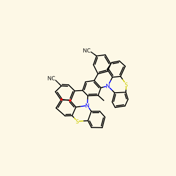 Cc1c(N2c3ccccc3Sc3ccccc32)c(-c2cccc(C#N)c2)cc(-c2cccc(C#N)c2)c1N1c2ccccc2Sc2ccccc21